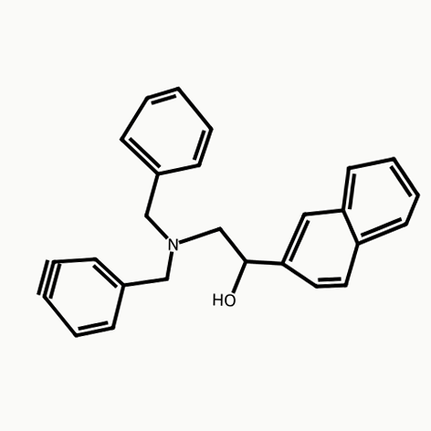 OC(CN(Cc1cc#ccc1)Cc1ccccc1)c1ccc2ccccc2c1